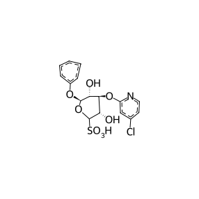 O=S(=O)(O)C1O[C@@H](Oc2ccccc2)[C@H](O)[C@@H](Oc2cc(Cl)ccn2)[C@@H]1O